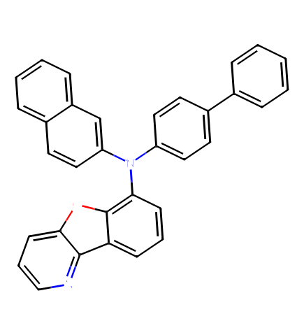 c1ccc(-c2ccc(N(c3ccc4ccccc4c3)c3cccc4c3oc3cccnc34)cc2)cc1